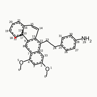 COc1cc(OC)c2cc(C(C)C)c(/C=C\c3ccccc3)c(CCc3ccc(N)cc3)c2c1